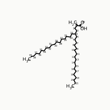 C=C(CCC(CCCCCCCCCCCCCCCCCC)CCCCCCCCCCCCCCCCCC)C(=O)O